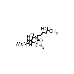 CNc1nc2c([nH]1)c(=O)n(CCCCC(C)O)c(=O)n2C